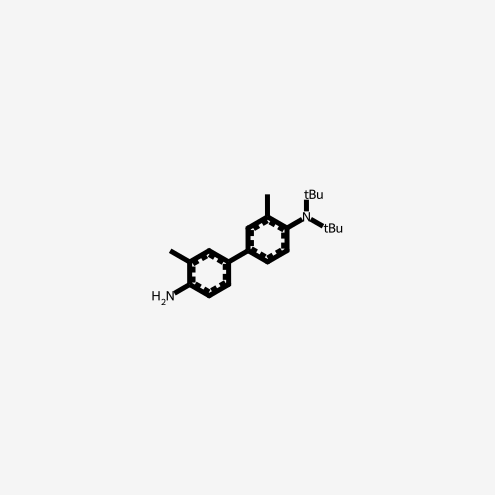 Cc1cc(-c2ccc(N(C(C)(C)C)C(C)(C)C)c(C)c2)ccc1N